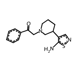 Nc1sncc1C1CCCN(CC(=O)c2ccccc2)C1